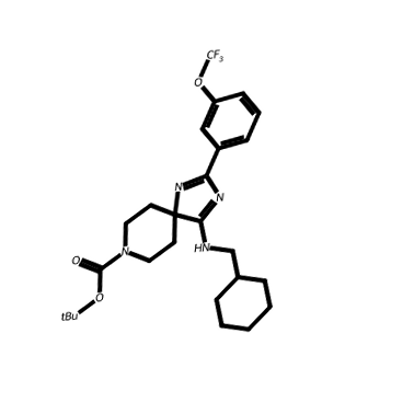 CC(C)(C)OC(=O)N1CCC2(CC1)N=C(c1cccc(OC(F)(F)F)c1)N=C2NCC1CCCCC1